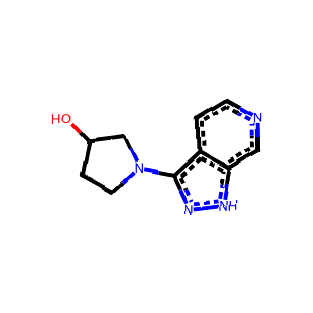 OC1CCN(c2n[nH]c3cnccc23)C1